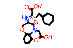 O=C(O)CN1C(=O)C(N[C@@H](CCC2CCCCC2)C(=O)O)COc2ccccc21